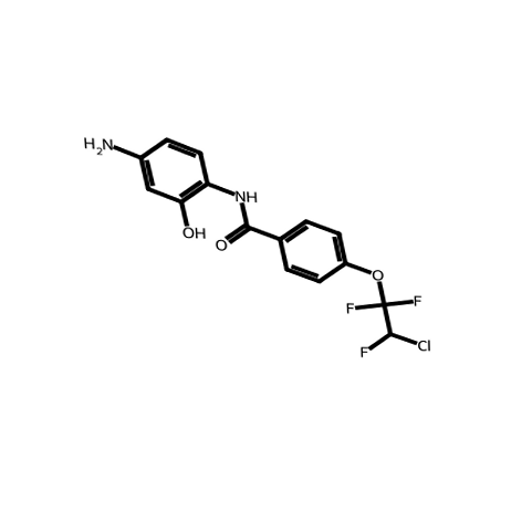 Nc1ccc(NC(=O)c2ccc(OC(F)(F)C(F)Cl)cc2)c(O)c1